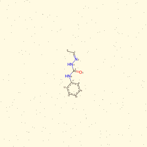 C/C=N\NC(=O)Nc1ccccc1